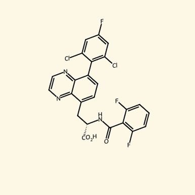 O=C(N[C@@H](Cc1ccc(-c2c(Cl)cc(F)cc2Cl)c2nccnc12)C(=O)O)c1c(F)cccc1F